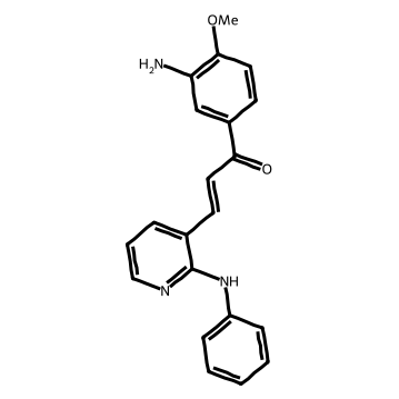 COc1ccc(C(=O)C=Cc2cccnc2Nc2ccccc2)cc1N